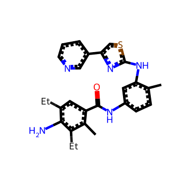 CCc1cc(C(=O)Nc2ccc(C)c(Nc3nc(-c4cccnc4)cs3)c2)c(C)c(CC)c1N